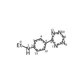 CCNc1ccc(-c2nncnn2)cc1